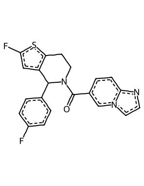 O=C(c1ccc2nccn2c1)N1CCc2sc(F)cc2C1c1ccc(F)cc1